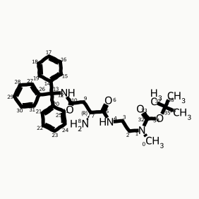 CN(CCNC(=O)[C@H](N)CC(=O)NC(c1ccccc1)(c1ccccc1)c1ccccc1)C(=O)OC(C)(C)C